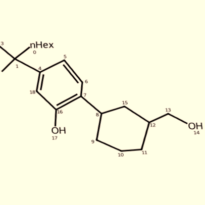 CCCCCCC(C)(C)c1ccc(C2CCCC(CO)C2)c(O)c1